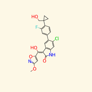 COc1cc(/C(O)=C2\C(=O)Nc3cc(Cl)c(-c4ccc(C5(CO)CC5)c(F)c4)cc32)on1